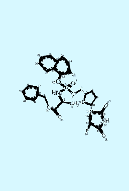 C[C@H](NP(=O)(OC[C@@H]1CC[C@H](n2cc(F)c(=O)[nH]c2=O)O1)Oc1cccc2ccccc12)C(=O)OCc1ccccc1